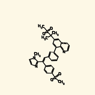 Cn1ccnc1C(=Cc1cccc(-c2cc(C(C)(C)S(C)(=O)=O)cc3cccnc23)c1)c1ccc(S(C)(=O)=O)cc1